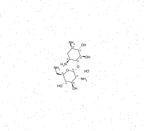 Cl.NC[C@H]1O[C@H](O[C@H]2[C@H](O)[C@@H](O)[C@H](N)C[C@@H]2N)[C@H](N)[C@@H](O)[C@@H]1O